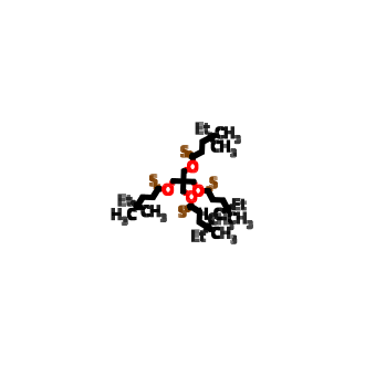 CCC(C)(C)CCC(=S)OCC(COC(=S)CCC(C)(C)CC)(COC(=S)CCC(C)(C)CC)COC(=S)CCC(C)(C)CC